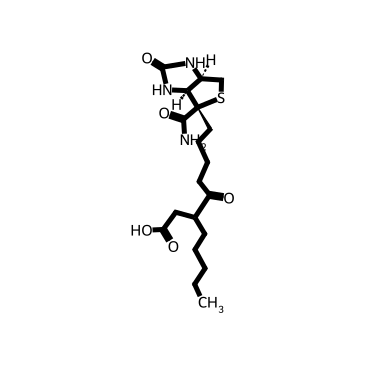 CCCCCC(CC(=O)O)C(=O)CCCC[C@]1(C(N)=O)SC[C@@H]2NC(=O)N[C@@H]21